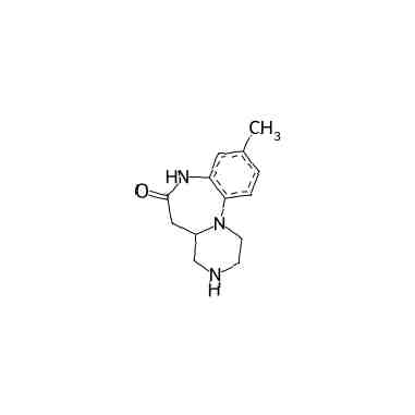 Cc1ccc2c(c1)NC(=O)CC1CNCCN21